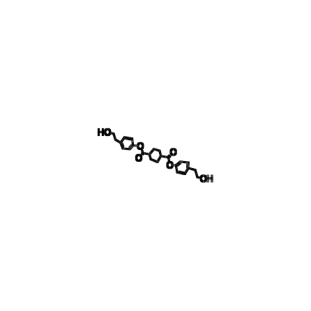 O=C(Oc1ccc(CCO)cc1)C1CCC(C(=O)Oc2ccc(CCO)cc2)CC1